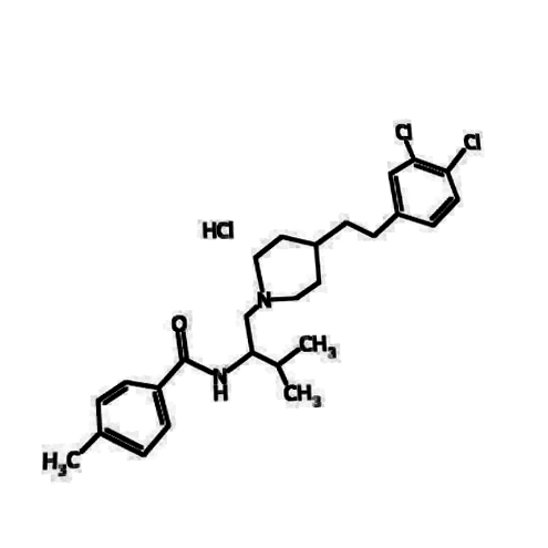 Cc1ccc(C(=O)NC(CN2CCC(CCc3ccc(Cl)c(Cl)c3)CC2)C(C)C)cc1.Cl